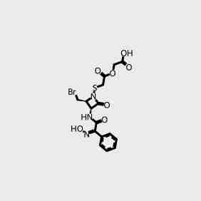 O=C(O)COC(=O)CSN1C(=O)[C@@H](NC(=O)C(=NO)c2ccccc2)[C@H]1CBr